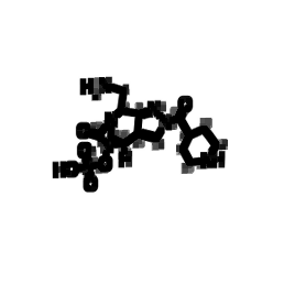 NCC1c2nn(C(=O)C3CCNCC3)cc2[C@H]2CN1C(=O)N2OS(=O)(=O)O